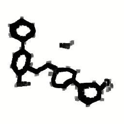 COc1ccc(-c2ccccc2)cc1CCN1CC=C(c2cccc(C(F)(F)F)c2)CC1.Cl